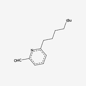 CC(C)(C)CCCCc1cccc(C=O)n1